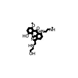 CNCCNc1ccc2c(CNCCO)nn3c4c(O)ccc(OC)c4c(=O)c1c23